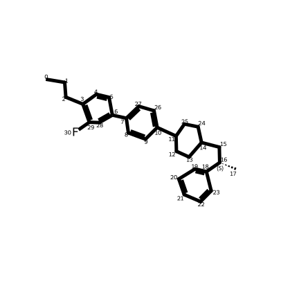 CCCc1ccc(-c2ccc(C3CCC(C[C@H](C)c4ccccc4)CC3)cc2)cc1F